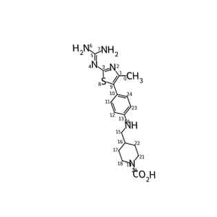 Cc1nc(N=C(N)N)sc1-c1ccc(NCC2CCN(C(=O)O)CC2)cc1